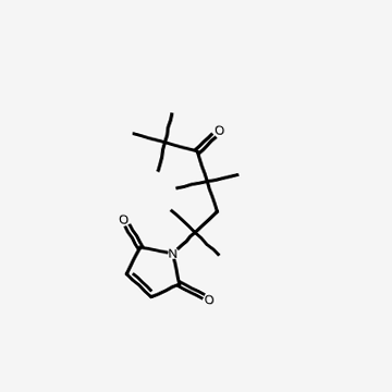 CC(C)(C)C(=O)C(C)(C)CC(C)(C)N1C(=O)C=CC1=O